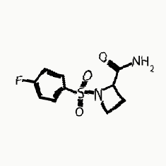 NC(=O)C1CCN1S(=O)(=O)c1ccc(F)cc1